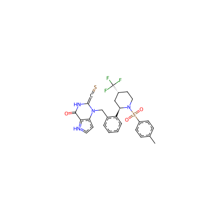 Cc1ccc(S(=O)(=O)N2CC[C@@H](C(F)(F)F)C[C@@H]2c2ccccc2CN2C(=C=S)NC(=O)c3[nH]ccc32)cc1